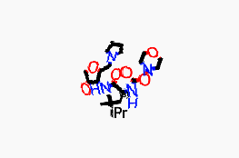 CC(C)C(C)(C)C[C@H](NC(=O)ON1CCOCC1)C(=O)NC1C(=O)COC1CN1CCCC1